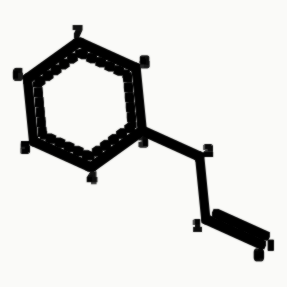 [C]=CCc1ccccc1